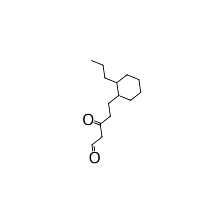 CCCC1CCCCC1CCC(=O)CC=O